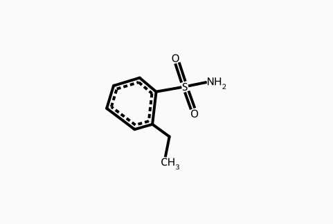 CCc1ccccc1S(N)(=O)=O